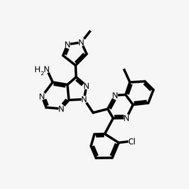 Cc1cccc2nc(-c3ccccc3Cl)c(Cn3nc(-c4cnn(C)c4)c4c(N)ncnc43)nc12